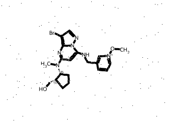 CO[n+]1cccc(CNc2cc(N(C)[C@@H]3CCC[C@@H]3CO)nc3c(Br)cnn23)c1